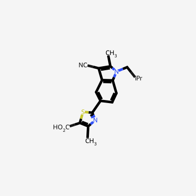 Cc1nc(-c2ccc3c(c2)c(C#N)c(C)n3CC(C)C)sc1C(=O)O